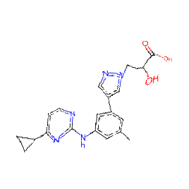 Cc1cc(Nc2nccc(C3CC3)n2)cc(-c2cnn(CC(O)C(=O)O)c2)c1